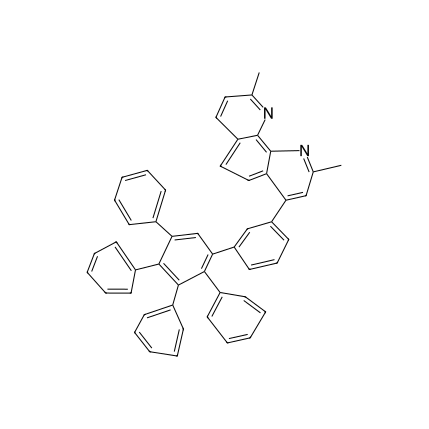 Cc1ccc2ccc3c(-c4cccc(-c5cc(-c6ccccc6)c(-c6ccccc6)c(-c6ccccc6)c5-c5ccccc5)c4)cc(C)nc3c2n1